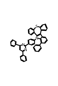 c1ccc(-c2cc(-c3ccccc3)nc(-c3ccc(-n4c5c(c6cccc(-c7ccccc7)c64)-c4ccccc4Sc4ccccc4-5)cc3)n2)cc1